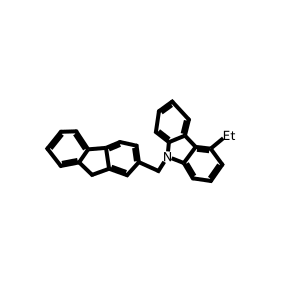 CCc1cccc2c1c1ccccc1n2Cc1ccc2c(c1)Cc1ccccc1-2